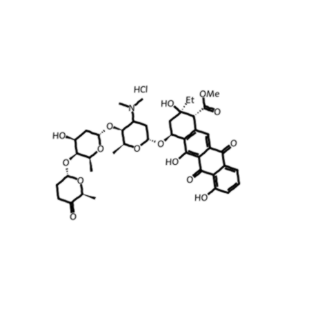 CC[C@@]1(O)C[C@H](O[C@H]2CC(N(C)C)[C@H](O[C@H]3C[C@H](O)[C@H](O[C@H]4CCC(=O)[C@H](C)O4)[C@H](C)O3)[C@H](C)O2)c2c(cc3c(c2O)C(=O)c2c(O)cccc2C3=O)[C@H]1C(=O)OC.Cl